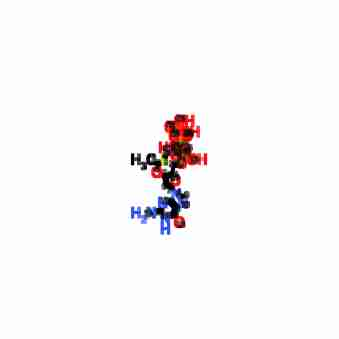 CSS[C@@H](C)OC1C[C@H](n2cnc3c(=O)[nH]c(N)nc32)O[C@@H]1COP(=O)(O)OP(=O)(O)OP(=O)(O)O